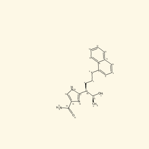 C[C@H](O)[C@H](CCSc1cccc2ccccc12)c1nc(C(N)=O)c[nH]1